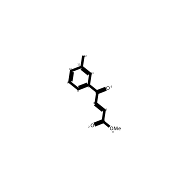 COC(=O)C=CC(=O)c1cccc(C)c1